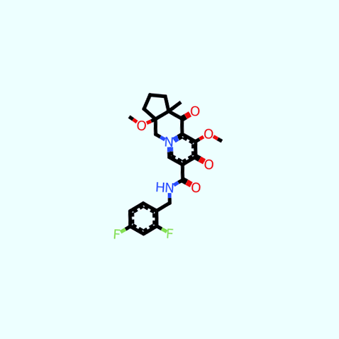 COc1c2n(cc(C(=O)NCc3ccc(F)cc3F)c1=O)CC1(OC)CCCC1(C)C2=O